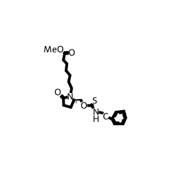 COC(=O)CCCCCCN1C(=O)CC[C@@H]1COC(=S)NCCc1ccccc1